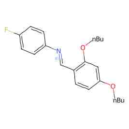 CCCCOc1ccc(/C=N/c2ccc(F)cc2)c(OCCCC)c1